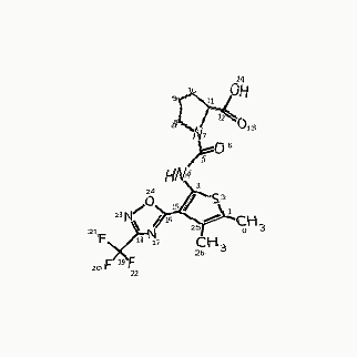 Cc1sc(NC(=O)N2CCCC2C(=O)O)c(-c2nc(C(F)(F)F)no2)c1C